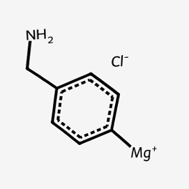 NCc1cc[c]([Mg+])cc1.[Cl-]